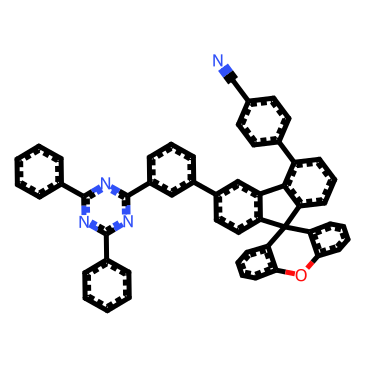 N#Cc1ccc(-c2cccc3c2-c2cc(-c4cccc(-c5nc(-c6ccccc6)nc(-c6ccccc6)n5)c4)ccc2C32c3ccccc3Oc3ccccc32)cc1